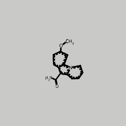 COc1ccc2c(C(N)=O)c3ccccn3c2c1